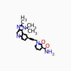 Cc1nc2cnc3ccc(C#CCn4cccc(C(N)=O)c4=O)cc3c2n1C(C)C